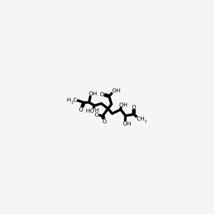 CC(=O)C(O)C(O)CC(CC(=O)O)(CC(O)C(O)C(C)=O)C(=O)O